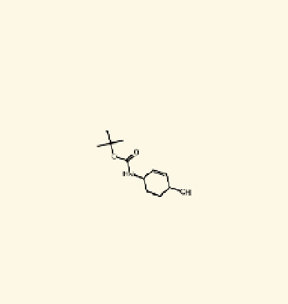 CC(C)(C)OC(=O)N[C@H]1C=C[C@@H](O)CC1